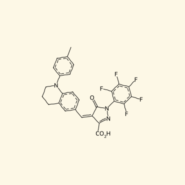 Cc1ccc(N2CCCc3cc(/C=C4\C(=O)N(c5c(F)c(F)c(F)c(F)c5F)N=C4C(=O)O)ccc32)cc1